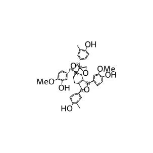 COc1ccc([C@@H]2O[C@H](c3ccc(O)c(C)c3)[C@@]3(CO3)[C@@]23CCC2=C(C3)[C@@H](c3ccc(O)c(OC)c3)O[C@H]2c2ccc(O)c(C)c2)cc1O